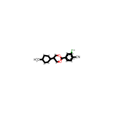 CC1CCC(C2COC(c3ccc(C#N)c(F)c3)OC2)CC1